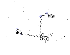 CCCC/C=C\C/C=C\CCCCCCCCC1(CCCCCCCC/C=C\C/C=C\CCCC)OC2C(C)OC(CN(C)C)C2O1